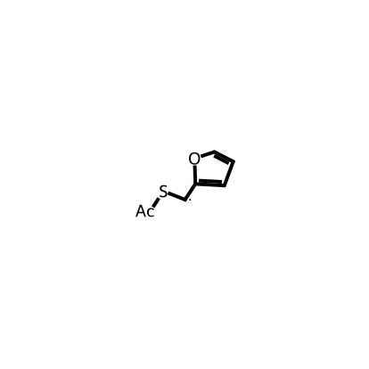 CC(=O)S[CH]c1ccco1